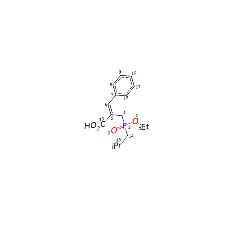 CCOP(=O)(C/C(=C\c1ccccc1)C(=O)O)CC(C)C